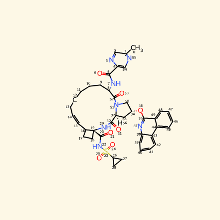 Cc1cnc(C(=O)N[C@H]2CCCCC/C=C\C3CC[C@@]3(C(=O)NS(=O)(=O)C3CC3)NC(=O)[C@@H]3C[C@@H](Oc4nc5ccccc5c5ccccc45)CN3C2=O)cn1